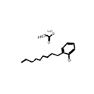 CCCCCCCCCc1ccccc1[O-].O=C([O-])O.[Ca+2]